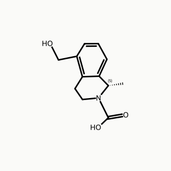 C[C@H]1c2cccc(CO)c2CCN1C(=O)O